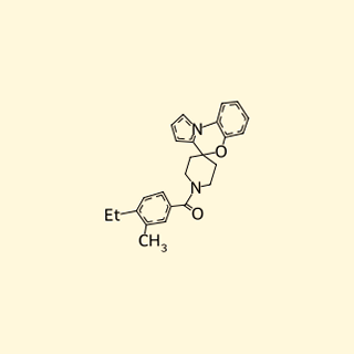 CCc1ccc(C(=O)N2CCC3(CC2)Oc2ccccc2-n2cccc23)cc1C